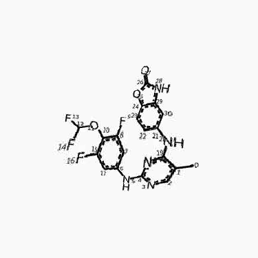 Cc1cnc(Nc2cc(F)c(OC(F)F)c(F)c2)nc1Nc1ccc2oc(=O)[nH]c2c1